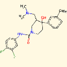 COc1cccc(C2(O)CCN(C(=O)Nc3ccc(F)c(F)c3)CC2CN(C)C)c1